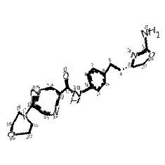 NC1=N[C@@H](CCc2ccc(NC(=O)c3cnc(N4CCOCC4)cn3)cc2)CO1